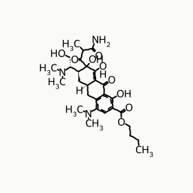 CCCCOC(=O)c1cc(N(C)C)c2c(c1O)C(=O)C1=C(O)C(O)(C(=O)C(C)C(N)=O)[C@H]([C@@H](CO)N(C)C)C[C@@H]1C2